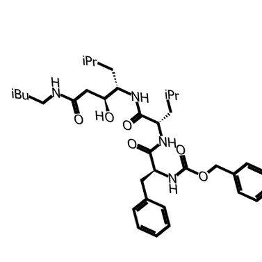 CCC(C)CNC(=O)C[C@H](O)[C@H](CC(C)C)NC(=O)[C@H](CC(C)C)NC(=O)[C@H](Cc1ccccc1)NC(=O)OCc1ccccc1